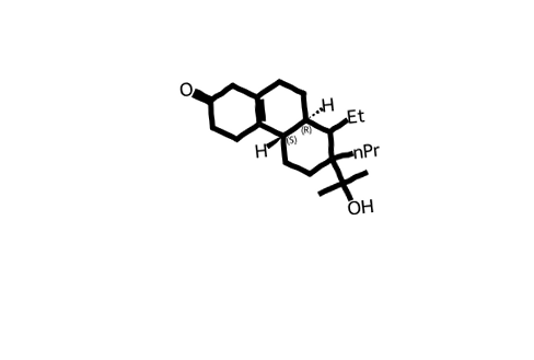 CCCC1(C(C)(C)O)CC[C@@H]2C3=C(CC[C@H]2C1CC)CC(=O)CC3